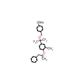 COc1ccc(COC(c2ccc(O[C@@H](C)Cc3ccccc3)c(C)c2)(C(F)(F)F)C(F)(F)F)cc1